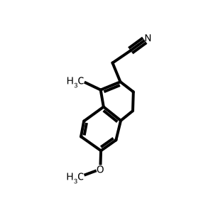 COc1ccc2c(c1)CCC(CC#N)=C2C